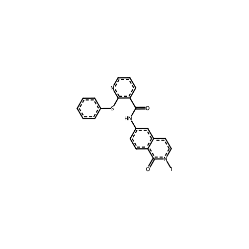 O=C(Nc1ccc2c(=O)n(I)ccc2c1)c1cccnc1Sc1ccccc1